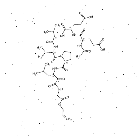 C=CCOC(=O)CNC(=O)C(=O)[C@H](CC(C)C)NC(=O)[C@@H]1CCCN1C(=O)[C@@H](NC(=O)[C@@H](NC(=O)[C@H](CCC(=O)O)NC(=O)[C@H](CCC(=O)O)NC(C)=O)C(C)C)C(C)C